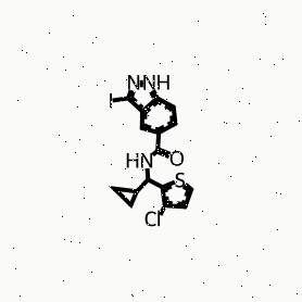 O=C(NC(c1sccc1Cl)C1CC1)c1ccc2[nH]nc(I)c2c1